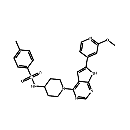 COc1cc(-c2cc3c(N4CCC(NS(=O)(=O)c5ccc(C)cc5)CC4)ncnc3[nH]2)ccn1